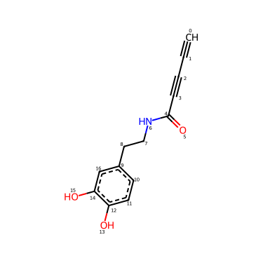 C#CC#CC(=O)NCCc1ccc(O)c(O)c1